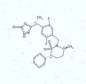 C[C@@H](c1n[nH]c(=O)o1)c1cc(F)c(CN2[C@@H](C)CC[C@H](c3ccccc3)S2(=O)=O)cc1F